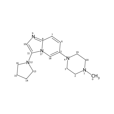 CN1CCN(c2ccc3ncc(N4CCCC4)n3c2)CC1